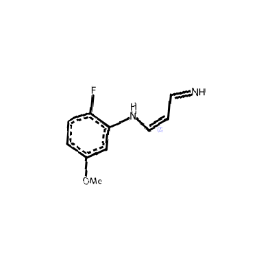 COc1ccc(F)c(N/C=C\C=N)c1